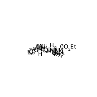 CCOC(=O)CCN1CCCC[C@@H]1C(=O)N[C@@H](C)C(=O)NCc1ccc(C(=N)NC(=O)OCc2ccccc2)cc1